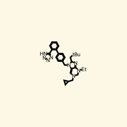 CCN1CN(CC2CC2)C=C2C1=NC(CC(C)(C)C)N2Cc1ccc(-c2ccccc2-c2nnn[nH]2)cc1